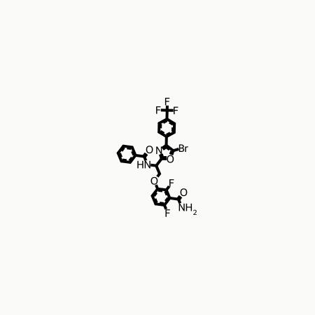 NC(=O)c1c(F)ccc(OCC(NC(=O)c2ccccc2)c2nc(-c3ccc(C(F)(F)F)cc3)c(Br)o2)c1F